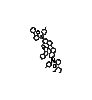 C=Cc1oc2c(N(c3ccc(C)cc3)c3ccc4c5c(ccc4c3)-c3ccc4cc(N(c6ccc(C)cc6)c6cccc7c6oc6ccccc67)ccc4c3C53c4ccccc4-c4c3ccc3ccccc43)cccc2c1/C=C\C